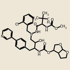 COC(=O)NC(C(=O)NN(Cc1ccccc1Cl)CC(O)C(Cc1ccc(-c2cccnc2)cc1)NC(=O)OC1COC2OCCC12)C(C)(C)C